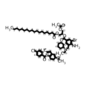 CCCCCCCCCCCCCCCCCC(=O)OCC(COC(C)=O)OC(=O)c1cc(Br)c(N)c(CN(CC)C2CCCCC2)c1.COc1ccc2c(c1)cc(C)n2C(=O)c1ccc(Cl)cc1